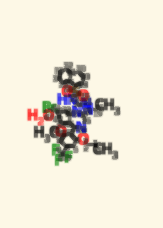 CCCOc1cc(C(F)(F)F)ccc1C1=NCC2N(CC)N=C(NS(=O)(=O)c3cccc4ccccc34)N2c2cc(Br)cc(OC)c21.O